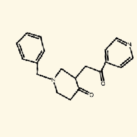 O=C(CC1CN(Cc2ccccc2)CCC1=O)c1ccncc1